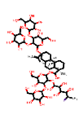 C=C1C[C@@]23CCC4[C@](C)(C(O)OC5OC(CO)C(O)C(OC6OC(CO)C(O)C(O)C6O)C5OC(O)C(O)C(O)C(O)C(C)I)CCC[C@@]4(C)[C@@H]2CC[C@]1(OC1OC(CO)C(O)C(OC2OC(CO)C(O)C(O)C2O)C1OC1OC(CO)C(O)C(O)C1O)C3